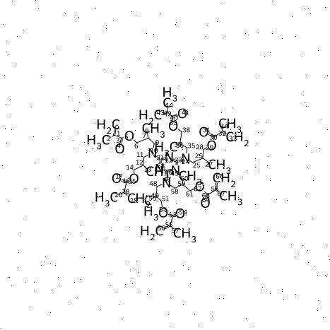 C=C(C)C(=O)OCC(C)CN(CC(C)COC(=O)C(=C)C)c1nc(N(CC(C)COC(=O)C(=C)C)CC(C)COC(=O)C(=C)C)nc(N(CC(C)COC(=O)C(=C)C)CC(C)COC(=O)C(=C)C)n1